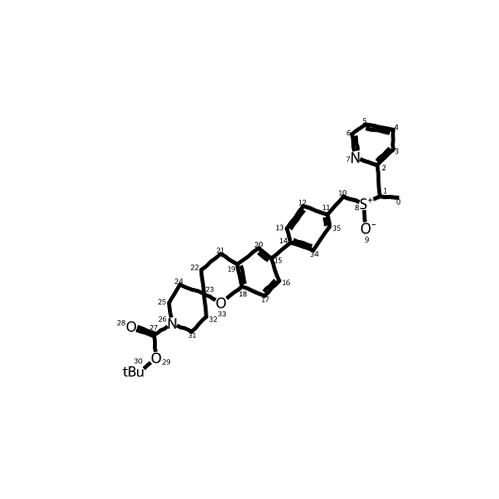 CC(c1ccccn1)[S+]([O-])Cc1ccc(-c2ccc3c(c2)CCC2(CCN(C(=O)OC(C)(C)C)CC2)O3)cc1